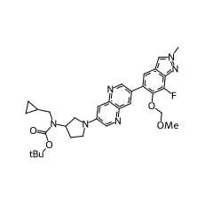 COCOc1c(-c2cnc3cc(N4CCC(N(CC5CC5)C(=O)OC(C)(C)C)C4)cnc3c2)cc2cn(C)nc2c1F